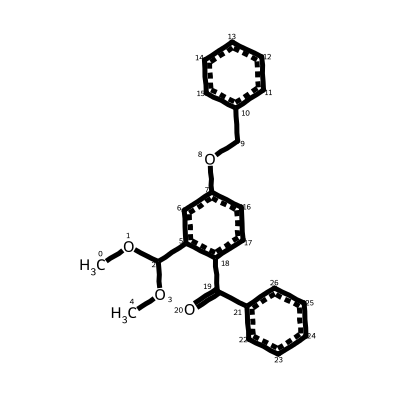 COC(OC)c1cc(OCc2ccccc2)ccc1C(=O)c1ccccc1